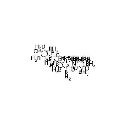 Bc1c(B)c(C(F)(F)C(=O)N(B)C(B)(B)c2c(B)c(B)c3c(c2B)C(B)(B)N(C2(B)C(=O)N(B)C(=O)C(B)(B)C2(B)B)C3=O)c(B)c(B)c1Cl